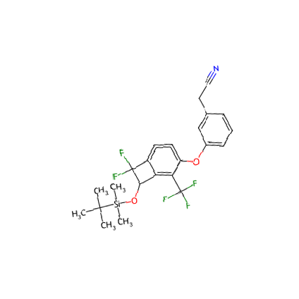 CC(C)(C)[Si](C)(C)OC1C2=C(C(F)(F)F)C(Oc3cccc(CC#N)c3)=C=C=C2C1(F)F